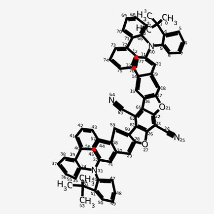 CC(C)(C)c1ccccc1N(c1ccc2cc3c(cc2c1)oc1c(C#N)c2oc4cc5cc(N(c6ccccc6-c6ccccc6)c6ccccc6C(C)(C)C)ccc5cc4c2c(C#N)c13)c1ccccc1-c1ccccc1